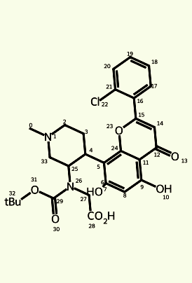 CN1CCC(c2c(O)cc(O)c3c(=O)cc(-c4ccccc4Cl)oc23)C(N(CC(=O)O)C(=O)OC(C)(C)C)C1